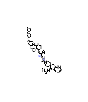 C=N/C(=C\N=C(/C)N1CCC2(CC1)Cc1ncccc1[C@H]2N)Sc1ccnc2c1OCC1C[C@H](COCOC)CN21